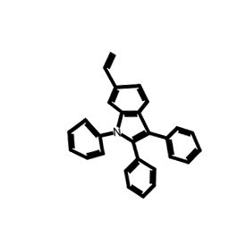 C=Cc1ccc2c(-c3ccccc3)c(-c3ccccc3)n(-c3ccccc3)c2c1